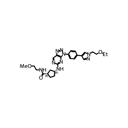 CCOCCn1cc(-c2ccc(-n3nnc4cnc(N[C@@H]5CC[C@@H](C(=O)NCCOC)C5)nc43)cc2)cn1